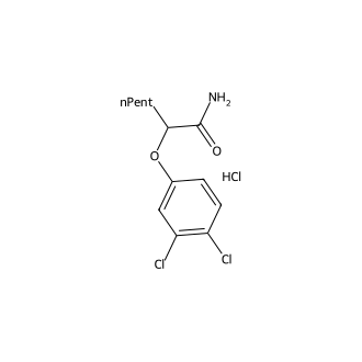 CCCCCC(Oc1ccc(Cl)c(Cl)c1)C(N)=O.Cl